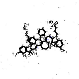 Cc1ccc2c(c1)C(C)(C)C(/C=C/C1=C(N(c3ccccc3)c3ccccc3)C(=C/C=C3/N(CCCS(=O)(=O)O)c4ccc(C)cc4C3(C)C)/CCCC1)=[N+]2CCCSOOO